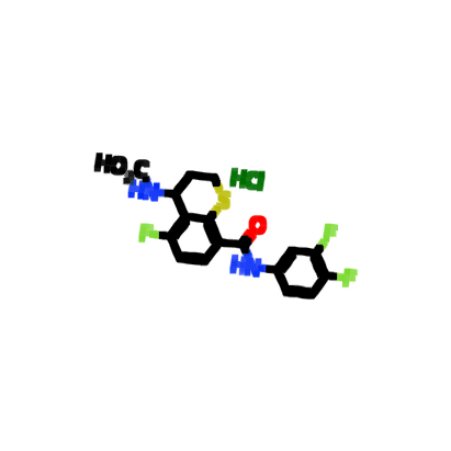 Cl.O=C(O)NC1CCSc2c(C(=O)Nc3ccc(F)c(F)c3)ccc(F)c21